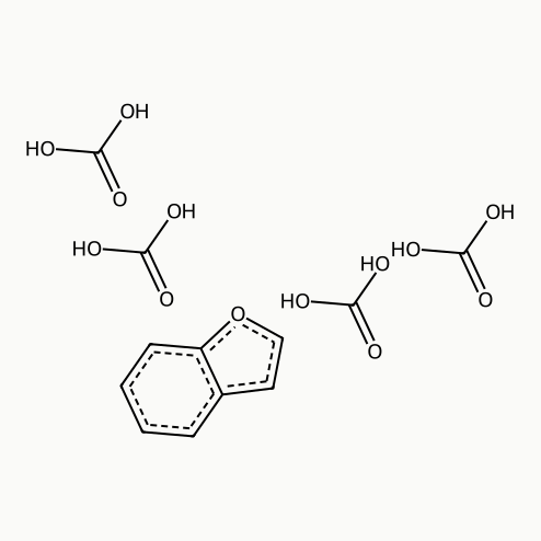 O=C(O)O.O=C(O)O.O=C(O)O.O=C(O)O.c1ccc2occc2c1